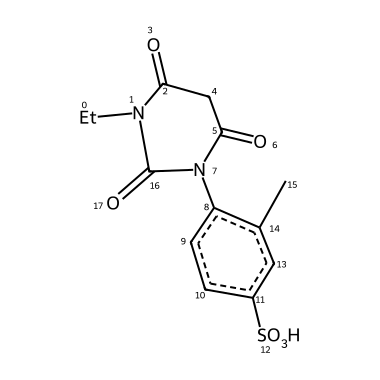 CCN1C(=O)CC(=O)N(c2ccc(S(=O)(=O)O)cc2C)C1=O